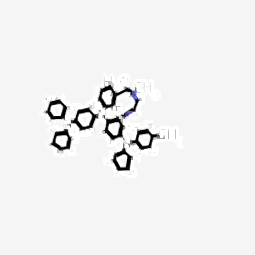 C=C1/C(C)=C\C=C/Sc2c1cccc2N(c1ccc(N(C2=CCC(C)C=C2)c2ccccc2)cc1)c1ccc(N(c2ccccc2)c2ccccc2)cc1